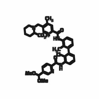 COC(OC)c1ccc(C(=O)Nc2cccc(-c3cccc(NC(=O)c4cc(C)c(CN5CCCCC5C(=O)O)cn4)c3C)c2Cl)nc1